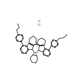 CCCc1ccc(-c2cccc3c2C=C(C2CCCCC2)[CH]3[Hf+2]2([CH]3C(C4CCCCC4)=Cc4c(-c5ccc(CCC)cc5)cccc43)[CH]3CCCC[CH]32)cc1.[Cl-].[Cl-]